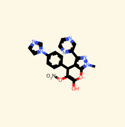 Cn1nc(-c2cnccn2)c2c1OC(O)=C(O[N+](=O)[O-])C2c1ccc(-n2ccnc2)cc1